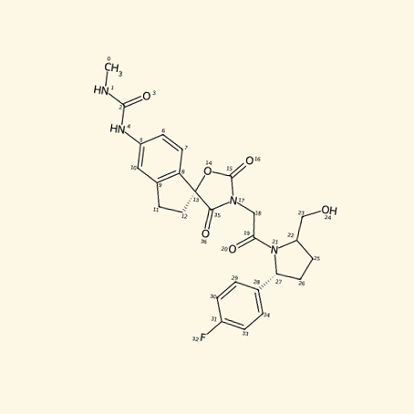 CNC(=O)Nc1ccc2c(c1)CC[C@@]21OC(=O)N(CC(=O)N2C(CO)CC[C@@H]2c2ccc(F)cc2)C1=O